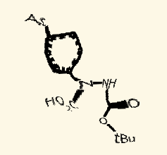 CC(=O)c1ccc(N(NC(=O)OC(C)(C)C)C(=O)O)cc1